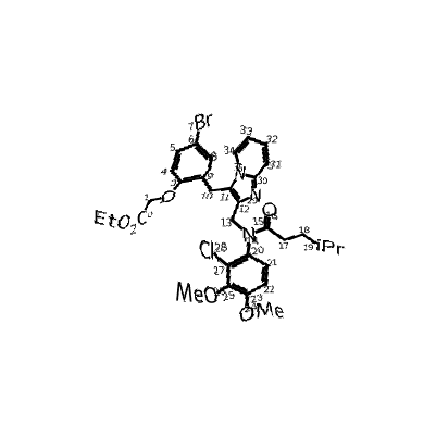 CCOC(=O)COc1ccc(Br)cc1Cc1c(CN(C(=O)CCC(C)C)c2ccc(OC)c(OC)c2Cl)nc2ccccn12